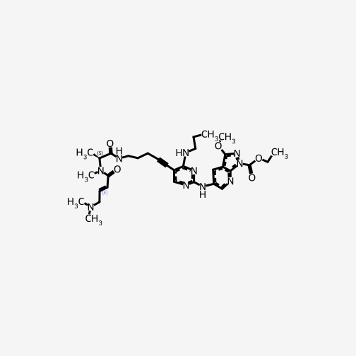 CCCNc1nc(Nc2cnc3c(c2)c(OC)nn3C(=O)OCC)ncc1C#CCCCNC(=O)[C@H](C)N(C)C(=O)/C=C/CN(C)C